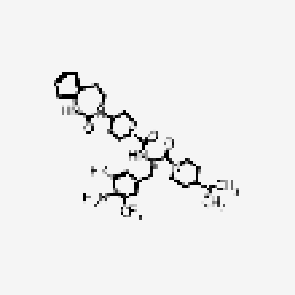 CN(C)C1CCN(C(=O)[C@@H](Cc2cc(C(F)(F)F)c(N)c(C(F)(F)F)c2)NC(=O)N2CCC(N3CCc4ccccc4NC3=O)CC2)CC1